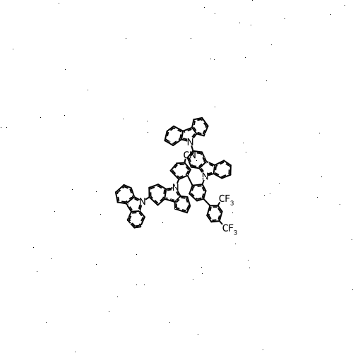 N#Cc1ccc(-n2c3ccccc3c3cc(-n4c5ccccc5c5ccccc54)ccc32)c(-c2ccc(-c3ccc(C(F)(F)F)cc3C(F)(F)F)cc2-n2c3ccccc3c3cc(-n4c5ccccc5c5ccccc54)ccc32)c1